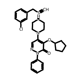 C#[SH](Cc1cccc(Cl)c1)N1CCN(c2cnn(-c3ccccc3)c(=O)c2OC2CCCC2)CC1